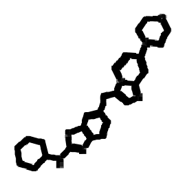 c1cc2nc(NC3CCCCC3)sc2cc1Cc1cnc2cc(N3CCOCC3)ccn12